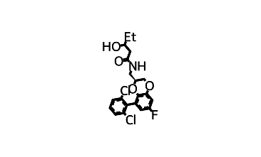 CCC(O)CC(=O)NC[C@H]1COc2cc(F)cc(-c3c(Cl)cccc3Cl)c2O1